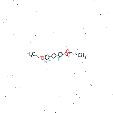 C/C=C/CCC1OCC(c2ccc(-c3ccc(-c4ccc(OCCCCC)c(F)c4F)cc3)c(F)c2)CO1